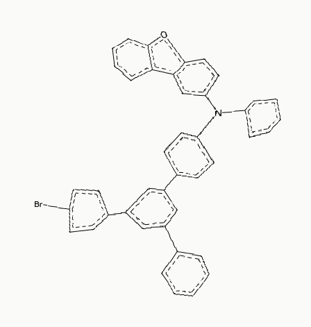 Brc1ccc(-c2cc(-c3ccccc3)cc(-c3ccc(N(c4ccccc4)c4ccc5oc6ccccc6c5c4)cc3)c2)cc1